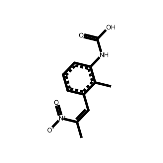 CC(=Cc1cccc(NC(=O)O)c1C)[N+](=O)[O-]